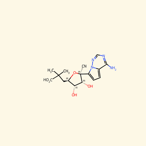 CC(C)(C[C@H]1O[C@@](C#N)(c2ccc3c(N)ncnn23)[C@H](O)[C@@H]1O)C(=O)O